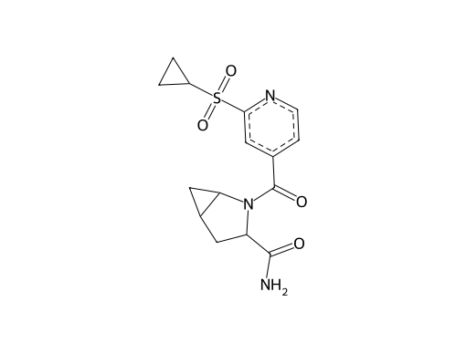 NC(=O)C1CC2CC2N1C(=O)c1ccnc(S(=O)(=O)C2CC2)c1